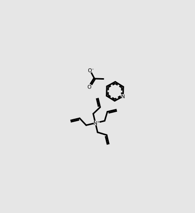 C=CC[N+](CC=C)(CC=C)CC=C.CC(=O)[O-].c1ccncc1